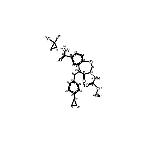 CC(C)(C)OC(=O)N[C@H]1CSc2ccc(C(=O)N[C@@H]3CC3(F)F)cc2N(Cc2ccc(C3CC3)cc2)C1=O